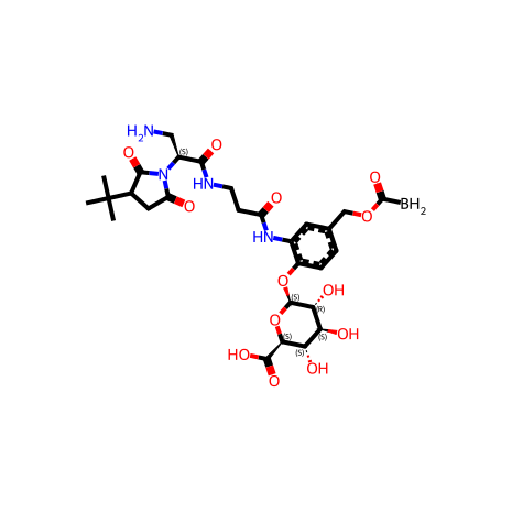 BC(=O)OCc1ccc(O[C@@H]2O[C@H](C(=O)O)[C@@H](O)[C@H](O)[C@H]2O)c(NC(=O)CCNC(=O)[C@H](CN)N2C(=O)CC(C(C)(C)C)C2=O)c1